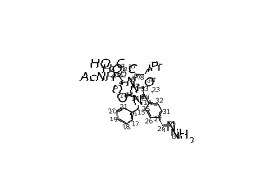 CC(=O)N[C@@H](CC(=O)O)C(=O)N([C@@H](CC(C)C)C(=O)O)N1C(=O)N(Cc2ccccc2)[C@](C)(c2ccc(C=NN)cc2)C1=O